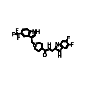 O=C(NCc1nc2cc(F)c(F)cc2[nH]1)C1CCN(Cc2c[nH]c3ccc(C(F)(F)F)cc23)CC1